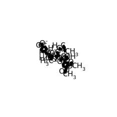 CCN(CC)CC.CO[C@@]1(C(=O)OCc2ccc([N+](=O)[O-])cc2)N2C(=O)[C@H](NC(=O)[C@H](c3ccc(OC(C)=O)c(OC(C)=O)c3)S(=O)(=O)O)[C@H]2SC1(C)C